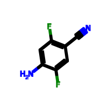 N#Cc1cc(F)c(N)cc1F